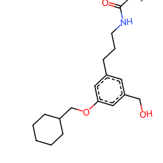 O=C(NCCCc1cc(CO)cc(OCC2CCCCC2)c1)C(F)(F)F